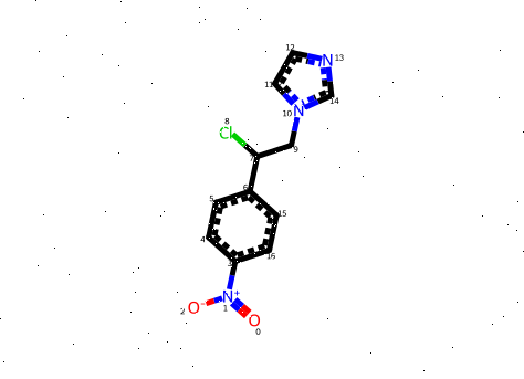 O=[N+]([O-])c1ccc(C(Cl)Cn2ccnc2)cc1